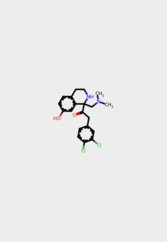 CN(C)CC1(C(=O)Cc2ccc(Cl)c(Cl)c2)NCCc2ccc(O)cc21